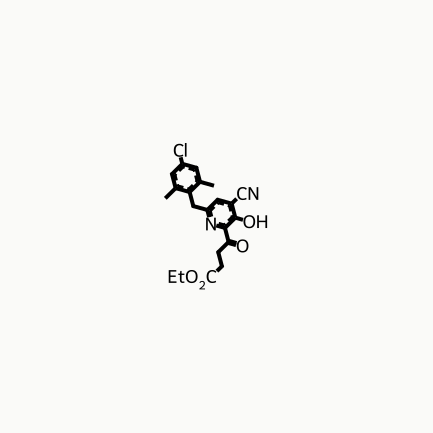 CCOC(=O)CCC(=O)c1nc(Cc2c(C)cc(Cl)cc2C)cc(C#N)c1O